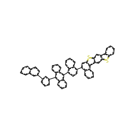 c1cc(-c2ccc3ccccc3c2)cc(-c2c3ccccc3c(-c3ccc(-c4cc5sc6cc7c(cc6c5c5ccccc45)sc4ccccc47)c4ccccc34)c3ccccc23)c1